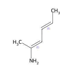 C/C=C/C=C(\C)N